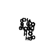 COC1CN(C(=O)[C@@H]2CNc3c(-c4ccc(C(=O)O)cc4F)nn(C(=O)c4c(Cl)cccc4C4CC4)c3C2)C1